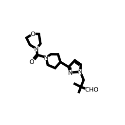 CC(C)(C=O)Cn1ccc(C2CCN(C(=O)N3CCOCC3)CC2)n1